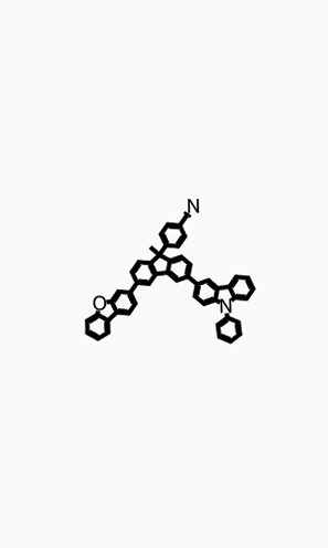 CC1(c2ccc(C#N)cc2)c2ccc(-c3ccc4c(c3)oc3ccccc34)cc2-c2cc(-c3ccc4c(c3)c3ccccc3n4-c3ccccc3)ccc21